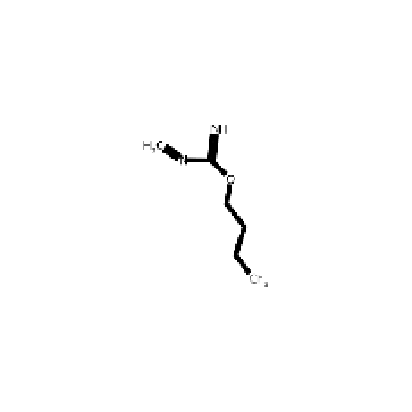 C=NC(=N)OCCCC(F)(F)F